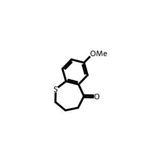 COc1ccc2c(c1)C(=O)CCCS2